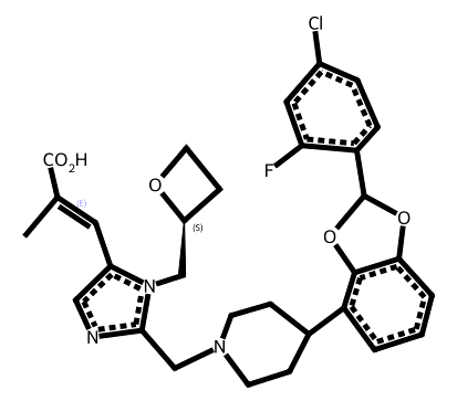 C/C(=C\c1cnc(CN2CCC(c3cccc4c3OC(c3ccc(Cl)cc3F)O4)CC2)n1C[C@@H]1CCO1)C(=O)O